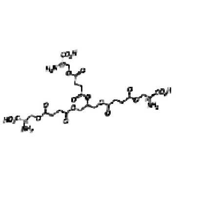 N[C@@H](COC(=O)CCC(=O)OCC(COC(=O)CCC(=O)OC[C@H](N)C(=O)O)OC(=O)CCC(=O)OC[C@H](N)C(=O)O)C(=O)O